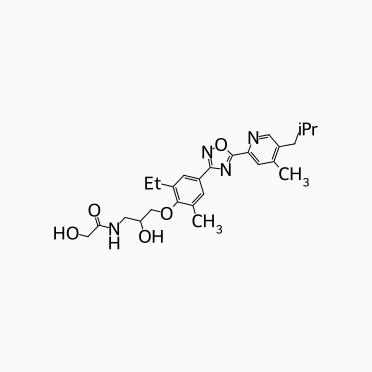 CCc1cc(-c2noc(-c3cc(C)c(CC(C)C)cn3)n2)cc(C)c1OCC(O)CNC(=O)CO